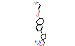 CCCC=CCOC1CCc2cc([C@H]3CC[C@](N)(CO)C3)ccc2C1